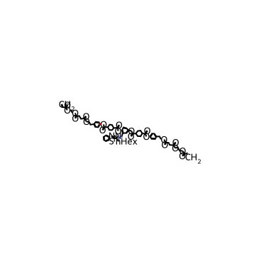 C=CC(=O)OCCOC(=O)CCC(=O)OCCc1ccc(OC(=O)C2CCC(C(=O)Oc3ccc(OC(=O)C4CCC(C(=O)Oc5ccc(CCOC(=O)CCC(=O)OCCOC(=O)C=C)cc5)CC4)c(/C=N/N(CCCCCC)c4nc5ccccc5s4)c3)CC2)cc1